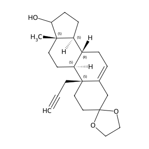 C#CC[C@]12CCC3(CC1=CC[C@@H]1[C@@H]2CC[C@]2(C)C(O)CC[C@@H]12)OCCO3